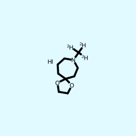 I.[2H]C([2H])([2H])N1CCCC2(CC1)OCCO2